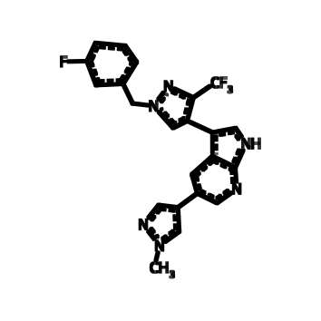 Cn1cc(-c2cnc3[nH]cc(-c4cn(Cc5cccc(F)c5)nc4C(F)(F)F)c3c2)cn1